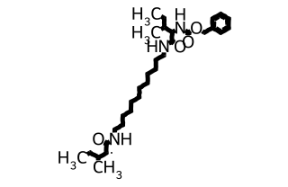 CCC(C)[CH]C(=O)NCCCCCCCCCCCCNC(=O)C(NC(=O)OCc1ccccc1)C(C)CC